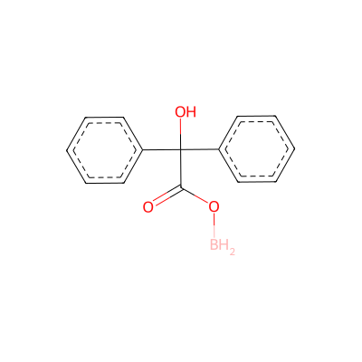 BOC(=O)C(O)(c1ccccc1)c1ccccc1